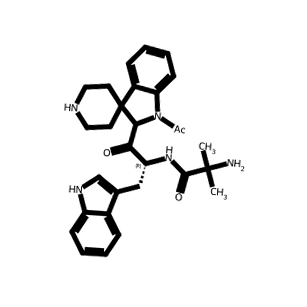 CC(=O)N1c2ccccc2C2(CCNCC2)C1C(=O)[C@@H](Cc1c[nH]c2ccccc12)NC(=O)C(C)(C)N